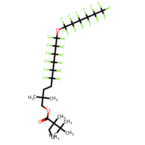 CCC(C)(C(=O)OCC(C)(C)CCC(F)(F)C(F)(F)C(F)(F)C(F)(F)C(F)(F)C(F)(F)OC(F)(F)C(F)(F)C(F)(F)C(F)(F)C(F)(F)C(F)(F)F)C(C)(C)C